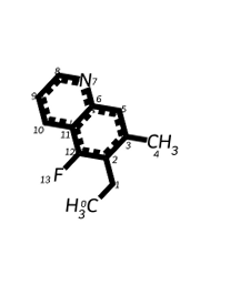 CCc1c(C)cc2ncccc2c1F